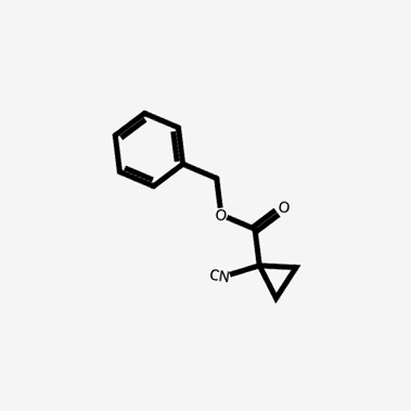 [C-]#[N+]C1(C(=O)OCc2ccccc2)CC1